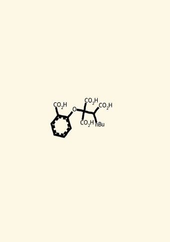 CCCCC(C(=O)O)C(Oc1ccccc1C(=O)O)(C(=O)O)C(=O)O